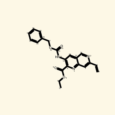 C=Cc1cc2nc(C(=O)OCC)c(NC(=O)OCc3ccccc3)cc2cn1